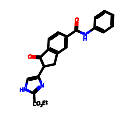 CCOC(=O)c1nc(C2Cc3cc(C(=O)Nc4ccccc4)ccc3C2=O)c[nH]1